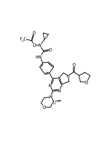 C[C@H]1COCCN1c1nc2c(c(-c3ccc(NC(=O)N(OC(=O)C(F)(F)F)C4CC4)cc3)n1)CN(C(=O)C1CCOC1)C2